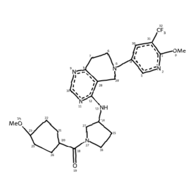 COc1ncc(N2CCc3ncnc(NC4CCN(C(=O)C5CCC(OC)CC5)C4)c3C2)cc1C(F)(F)F